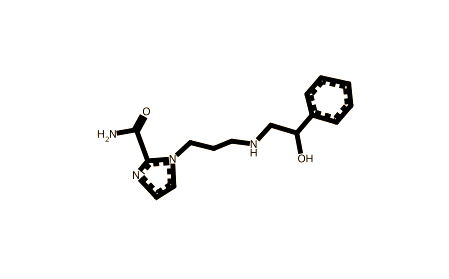 NC(=O)c1n[c]cn1CCCNCC(O)c1ccccc1